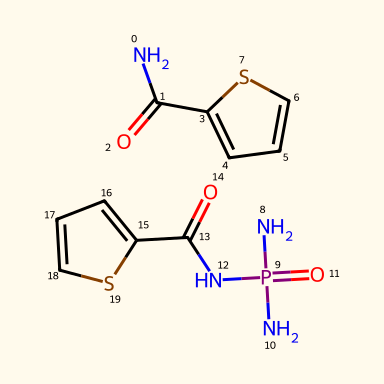 NC(=O)c1cccs1.NP(N)(=O)NC(=O)c1cccs1